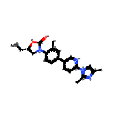 CC(=O)NC[C@H]1CN(c2ccc(-c3ccc(-n4cc(C)nc4C)nc3)cc2C)C(=O)O1